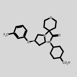 O=C(O)C1CCC(NC(=O)C2(N3CC[C@@H](Oc4cccc(C(F)(F)F)c4)C3)CCOCC2)CC1